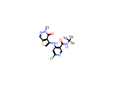 [2H]C([2H])([2H])NC(=O)c1cnc(Cl)cc1Nc1csc2cnn(CC)c(=O)c12